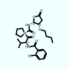 CCCCO[C@H]1CC(=O)O[C@H]1NC(=O)[N+]1(C(=O)[C@@H](NC(=O)c2ccccc2Cl)C(C)C)CCCC1